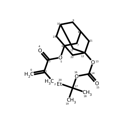 C=C(C)C(=O)OC12CC3CC(CC(OC(=O)OC(C)(C)CC)(C3)C1)C2